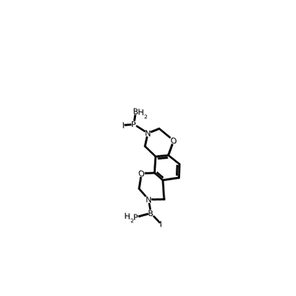 BP(I)N1COc2ccc3c(c2C1)OCN(B(P)I)C3